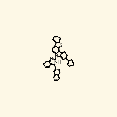 c1ccc(-c2ccc3c4c5sc6ccccc6c5ccc4n(C4N=c5ccccc5=C(c5ccc6ccccc6c5)N4)c3c2)cc1